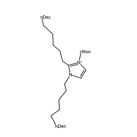 CCCCCCCCCCCCCCCc1n(CCCCCCCCCCCCCCC)cc[n+]1CCCCCCCCC